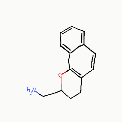 NCC1CCc2ccc3ccccc3c2O1